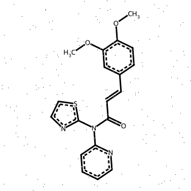 COc1ccc(/C=C/C(=O)N(c2ccccn2)c2nccs2)cc1OC